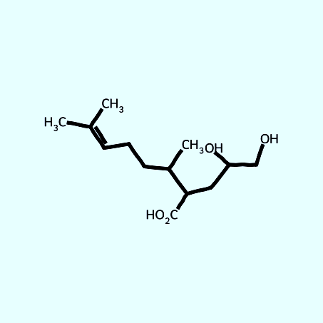 CC(C)=CCCC(C)C(CC(O)CO)C(=O)O